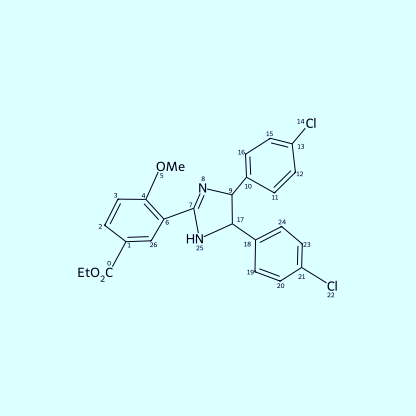 CCOC(=O)c1ccc(OC)c(C2=NC(c3ccc(Cl)cc3)C(c3ccc(Cl)cc3)N2)c1